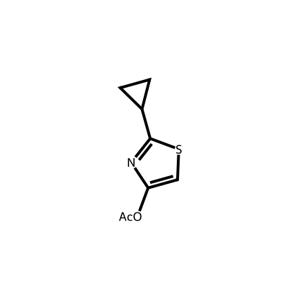 CC(=O)Oc1csc(C2CC2)n1